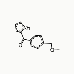 COCc1ccc(C(=O)c2ccc[nH]2)cc1